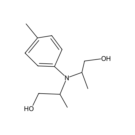 Cc1ccc(N(C(C)CO)C(C)CO)cc1